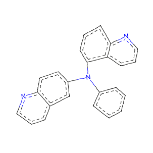 c1ccc(N(c2ccc3ncccc3c2)c2cccc3ncccc23)cc1